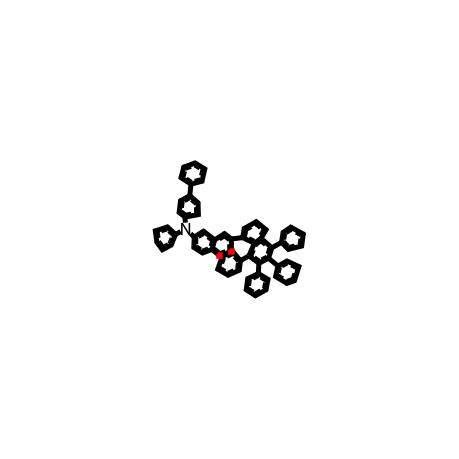 c1ccc(-c2ccc(N(c3ccccc3)c3ccc4ccc(-c5cccc6c(-c7ccccc7)c(-c7ccccc7)c(-c7ccccc7)c(-c7ccccc7)c56)cc4c3)cc2)cc1